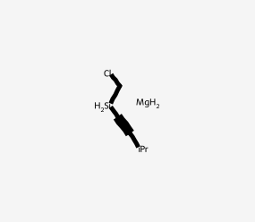 CC(C)C#C[SiH2]CCl.[MgH2]